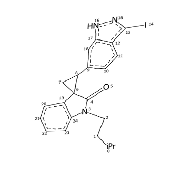 CC(C)CCN1C(=O)C2(CC2c2ccc3c(I)n[nH]c3c2)c2ccccc21